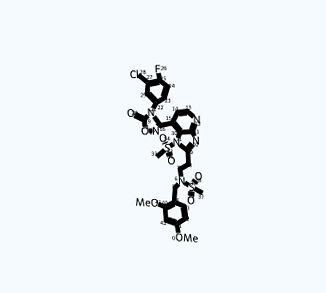 COc1ccc(CN(CCc2nc3nccc(-c4noc(=O)n4-c4ccc(F)c(Cl)c4)c3n2S(C)(=O)=O)S(C)(=O)=O)c(OC)c1